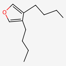 CCCCc1cocc1CCCC